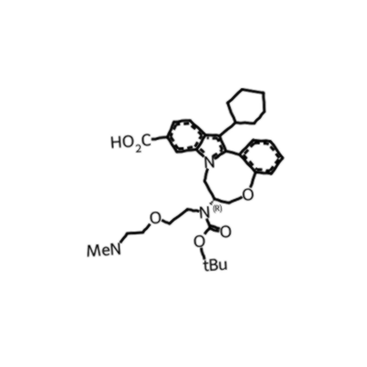 CNCCOCCN(C(=O)OC(C)(C)C)[C@H]1COc2ccccc2-c2c(C3CCCCC3)c3ccc(C(=O)O)cc3n2C1